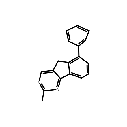 Cc1ncc2c(n1)-c1cccc(-c3ccccc3)c1C2